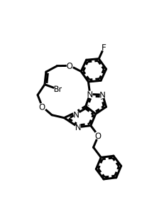 Fc1ccc2c(c1)OC/C=C(\Br)COCc1nc(OCc3ccccc3)c3cnn-2c3n1